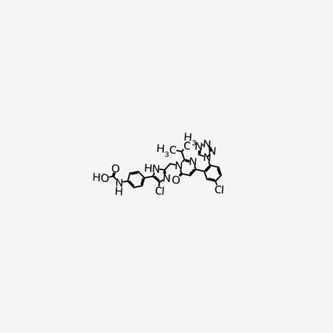 CC(C)c1nc(-c2cc(Cl)ccc2-n2cnnn2)cc(=O)n1Cc1nc(Cl)c(-c2ccc(NC(=O)O)cc2)[nH]1